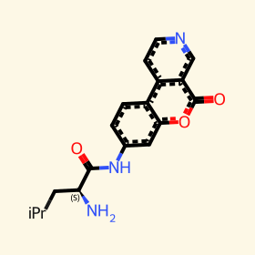 CC(C)C[C@H](N)C(=O)Nc1ccc2c(c1)oc(=O)c1cnccc12